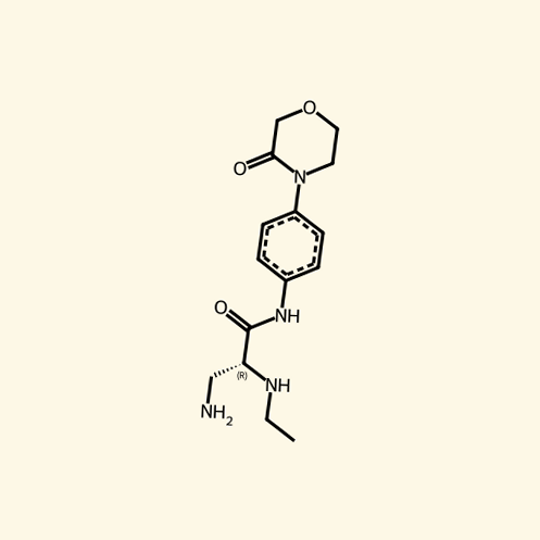 CCN[C@H](CN)C(=O)Nc1ccc(N2CCOCC2=O)cc1